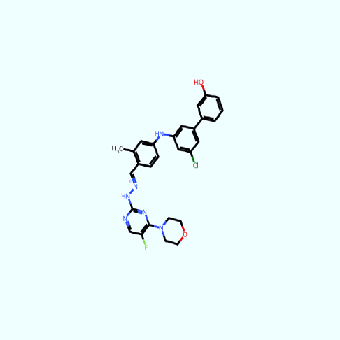 Cc1cc(Nc2cc(Cl)cc(-c3cccc(O)c3)c2)ccc1/C=N/Nc1ncc(F)c(N2CCOCC2)n1